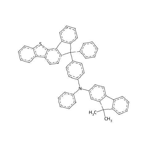 CC1(C)c2ccccc2-c2ccc(N(c3ccccc3)c3ccc(C4(c5ccccc5)c5ccccc5-c5c4ccc4c5sc5ccccc54)cc3)cc21